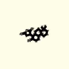 CC(C)C1=C(C2CC(=O)OC2=O)C2CCC3C(CCCC3(C)C)C2CC1